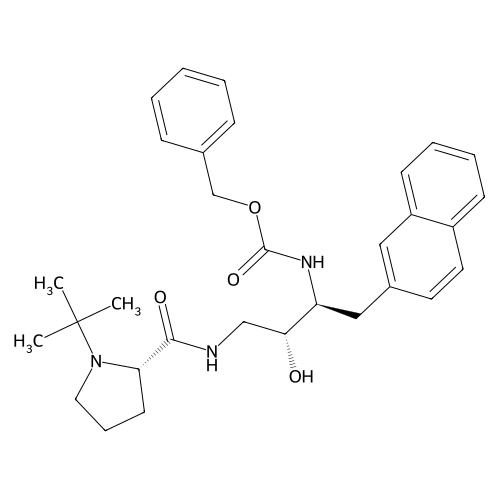 CC(C)(C)N1CCC[C@H]1C(=O)NC[C@@H](O)[C@H](Cc1ccc2ccccc2c1)NC(=O)OCc1ccccc1